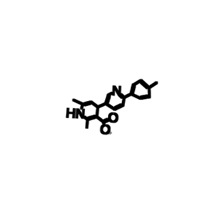 COC(=O)C1=C(C)NC(C)=CC1c1ccc(-c2ccc(C)cc2)nc1